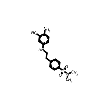 CN(C)S(=O)(=O)c1ccc(CCNc2ccc(N)c(C#N)c2)cc1